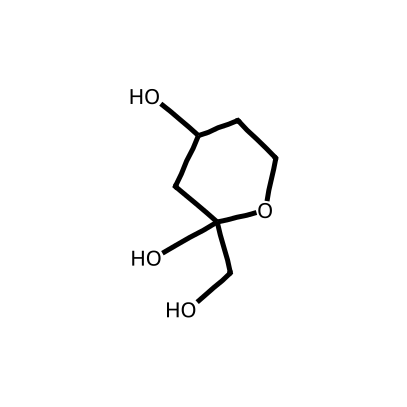 OCC1(O)CC(O)CCO1